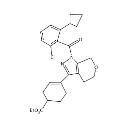 CCOC(=O)C1CC=C(c2nn(C(=O)c3c(Cl)cccc3C3CCC3)c3c2CCOC3)CC1